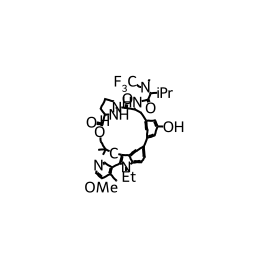 CCn1c(-c2cnccc2COC)c2c3cc(ccc31)-c1cc(O)cc(c1)C[C@H](NC(=O)C(C(C)C)N(C)CC(F)(F)F)C(=O)N1CCC[C@H](N1)C(=O)OCC(C)(C)C2